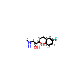 CNC[C@@H](O)[C@H]1CCc2cc(F)ccc2O1